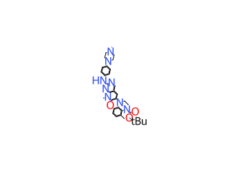 Cc1cccc2c1N(C(=O)OC(C)(C)C)CCN2c1cc2cnc(Nc3ccc(N4CCN(C)CC4)cc3)nc2n(C)c1=O